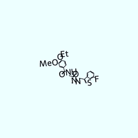 CCOc1ccc(C(=O)NCC(=O)N(C)/N=C/c2csc3c(F)cccc23)cc1OC